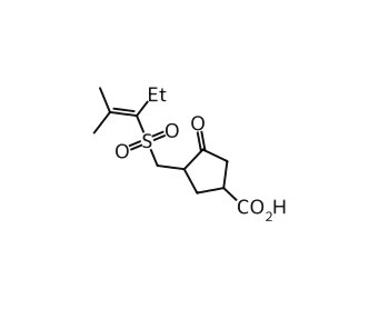 CCC(=C(C)C)S(=O)(=O)CC1CC(C(=O)O)CC1=O